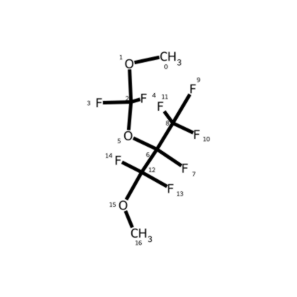 COC(F)(F)OC(F)(C(F)(F)F)C(F)(F)OC